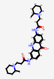 CC1CCCCN1CCC(=O)Nc1ccc2c(=O)c3ccc(NC(=O)CCN4CCCCC4C)cc3[nH]c2c1